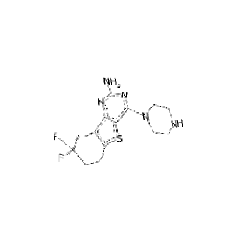 Nc1nc(N2CCNCC2)c2sc3c(c2n1)CC(F)(F)CC3